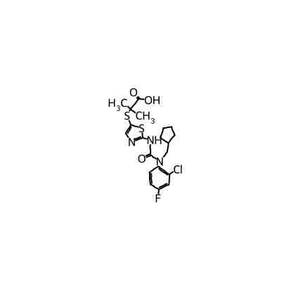 CC(C)(Sc1cnc(NC(=O)N(CC2CCCC2)c2ccc(F)cc2Cl)s1)C(=O)O